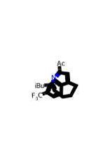 CCC(C)C1=C/CCC/C(c2ccc(C(F)(F)F)cc2)=C/C(C(C)=O)=N\1